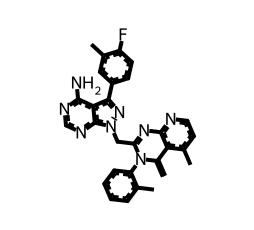 C=C1c2c(C)ccnc2N=C(Cn2nc(-c3ccc(F)c(C)c3)c3c(N)ncnc32)N1c1ccccc1C